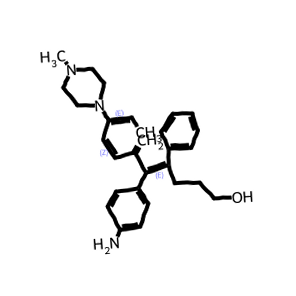 C=C(/C=C\C(=C/C)N1CCN(C)CC1)/C(=C(/CCCO)c1ccccc1)c1ccc(N)cc1